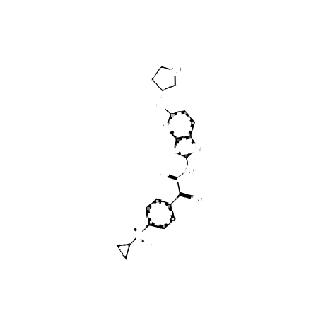 N=C(C(=O)Nc1nc2ccc(O[C@@H]3CCNC3)nc2s1)c1ccc(S(=O)(=O)C2CC2)cc1